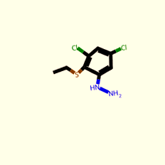 CCSc1c(Cl)cc(Cl)cc1NN